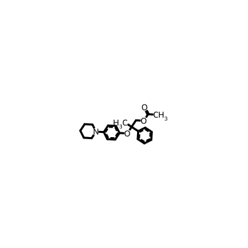 CC(=O)OCC(C)(Oc1ccc(N2CCCCC2)cc1)c1ccccc1